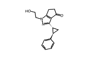 O=C1CCc2c1c([C@@H]1C[C@H]1c1ccccc1)nn2CCO